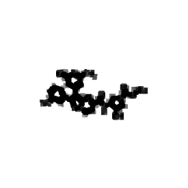 Cc1cc(-c2c(-c3cccc(C#N)c3)nn3ccc(C(=O)N[C@H]4CN(C(=O)OC(C)(C)C)C[C@@H]4O)nc23)cc(Cl)n1